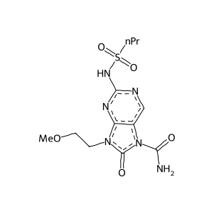 CCCS(=O)(=O)Nc1ncc2c(n1)n(CCOC)c(=O)n2C(N)=O